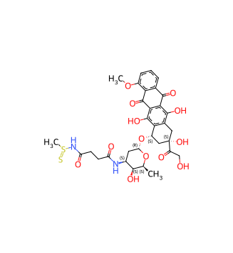 COc1cccc2c1C(=O)c1c(O)c3c(c(O)c1C2=O)C[C@@](O)(C(=O)CO)C[C@@H]3O[C@H]1C[C@H](NC(=O)CCC(=O)NS(C)=S)[C@H](O)[C@H](C)O1